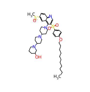 CCCCCCCCCCCOc1ccc(S(=O)(=O)c2cnc3ccc([S+](C)[O-])cc3c2N2CCC(N3CCC(N4CCCC(O)C4)CC3)CC2)cc1